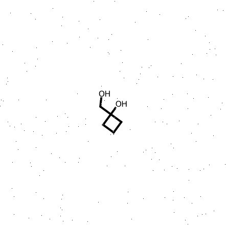 OCC1(O)C[CH]C1